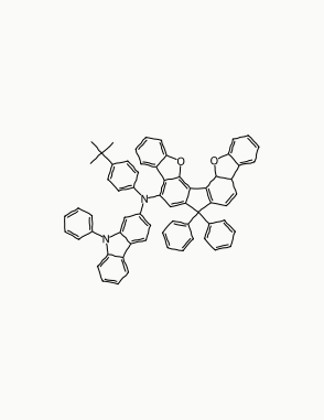 CC(C)(C)c1ccc(N(c2ccc3c4ccccc4n(-c4ccccc4)c3c2)c2cc3c(c4oc5ccccc5c24)C2=C(C=CC4c5ccccc5OC24)C3(c2ccccc2)c2ccccc2)cc1